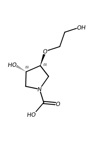 O=C(O)N1C[C@H](OCCO)[C@@H](O)C1